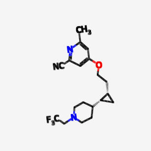 Cc1cc(OCC[C@@H]2C[C@@H]2C2CCN(CC(F)(F)F)CC2)cc(C#N)n1